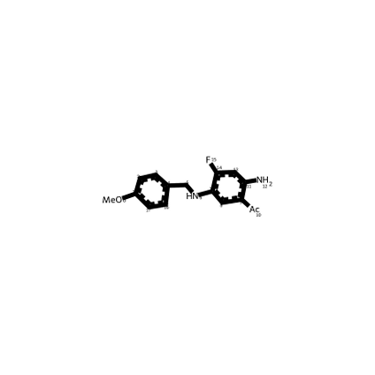 COc1ccc(CNc2cc(C(C)=O)c(N)cc2F)cc1